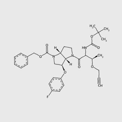 C#CCO[C@H](C)C(NC(=O)OC(C)(C)C)C(=O)N1CC[C@@H]2[C@H]1[C@@H](Oc1ccc(F)cc1)CN2C(=O)OCc1ccccc1